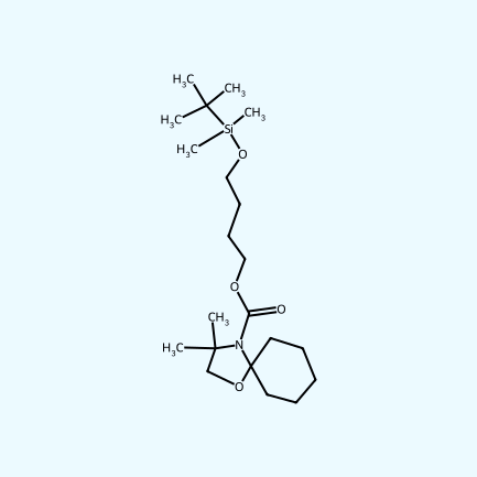 CC1(C)COC2(CCCCC2)N1C(=O)OCCCCO[Si](C)(C)C(C)(C)C